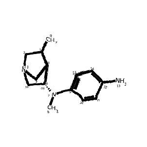 CC1CN2CC1[C@H](N(C)c1ccc(N)cc1)C2